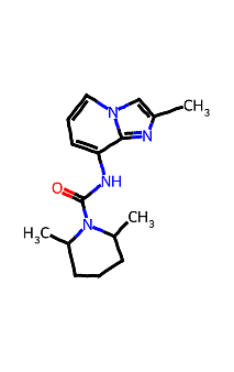 Cc1cn2cccc(NC(=O)N3C(C)CCCC3C)c2n1